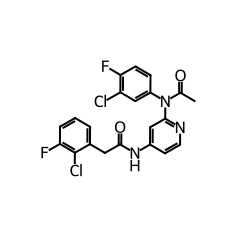 CC(=O)N(c1ccc(F)c(Cl)c1)c1cc(NC(=O)Cc2cccc(F)c2Cl)ccn1